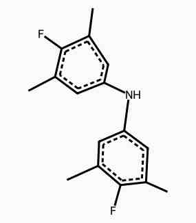 Cc1cc(Nc2cc(C)c(F)c(C)c2)cc(C)c1F